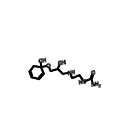 NC(=O)NCCNCC(O)COC1(O)C=CC=CC1